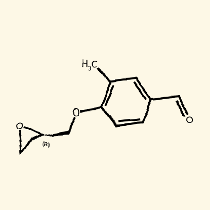 Cc1cc(C=O)ccc1OC[C@H]1CO1